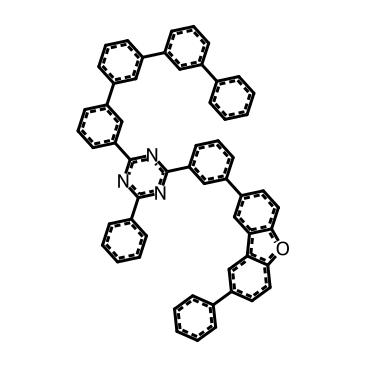 c1ccc(-c2cccc(-c3cccc(-c4cccc(-c5nc(-c6ccccc6)nc(-c6cccc(-c7ccc8oc9ccc(-c%10ccccc%10)cc9c8c7)c6)n5)c4)c3)c2)cc1